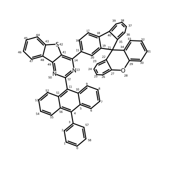 c1ccc(-c2c3ccccc3c(-c3nc(-c4ccc5c(c4)C4(c6ccccc6Oc6ccccc64)c4ccccc4-5)c4sc5ccccc5c4n3)c3ccccc23)cc1